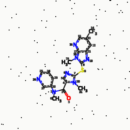 CN(C(=O)c1cnc(Sc2nc3cc(C(F)(F)F)cnc3n2C)n1C)c1cccnc1